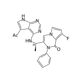 CC(=O)c1c[nH]c2ncnc(N[C@H](C)c3cn4ccc(F)c4c(=O)n3-c3ccccc3)c12